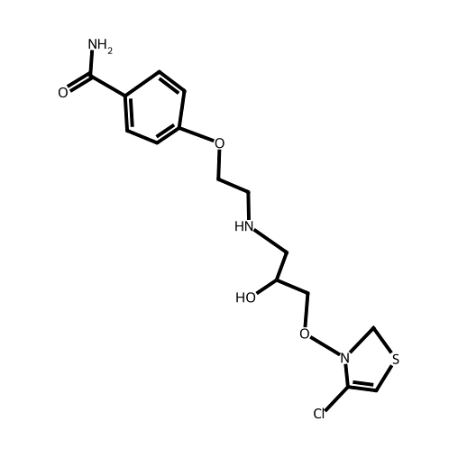 NC(=O)c1ccc(OCCNCC(O)CON2CSC=C2Cl)cc1